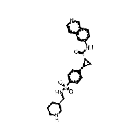 O=C(Nc1ccc2cnccc2c1)[C@@H]1CC1c1ccc(S(=O)(=O)NC[C@@H]2CCCNC2)cc1